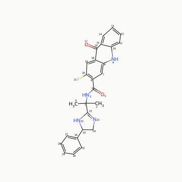 CC(C)(NC(=O)c1cc2[nH]c3ccccc3c(=O)c2cc1F)C1=NCC(c2ccccc2)N1